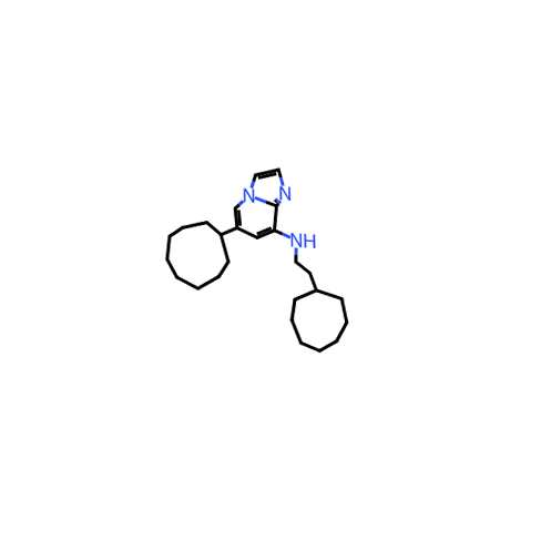 c1cn2cc(C3CCCCCCCC3)cc(NCCC3CCCCCCC3)c2n1